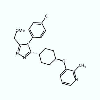 COCc1nnc([C@H]2CC[C@H](Oc3cccnc3C)CC2)n1-c1ccc(Cl)cc1